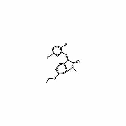 CCOc1ccc2c(c1)N(C)C(=O)/C2=C/c1cc(F)ccc1F